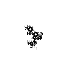 COc1cccc(Nc2ccc([N+](=O)[O-])c3[nH]c(C(=O)NS(C)(=O)=O)cc23)c1